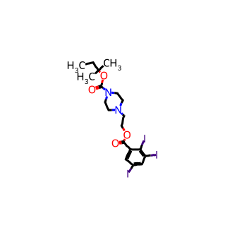 CCC(C)(C)OC(=O)N1CCN(CCOC(=O)c2cc(I)cc(I)c2I)CC1